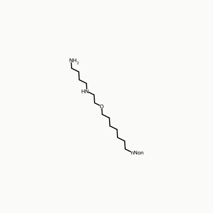 CCCCCCCCCCCCCCCCOCCNCCCCN